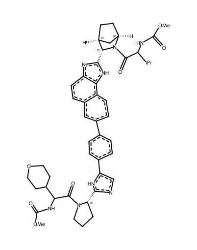 COC(=O)NC(C(=O)N1[C@@H]2CC[C@@H](C2)[C@H]1c1nc2ccc3cc(-c4ccc(-c5cnc([C@@H]6CCCN6C(=O)C(NC(=O)OC)C6CCOCC6)[nH]5)cc4)ccc3c2[nH]1)C(C)C